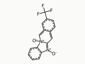 [O-][N+]1=C2C=c3ccc(C(F)(F)F)cc3=C[N+]2([O-])c2ccccc21